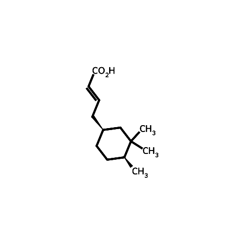 C[C@H]1CC[C@@H](C/C=C/C(=O)O)CC1(C)C